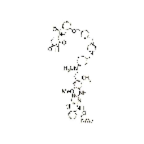 CNC(=O)c1ccccc1Nc1nc(Nc2cc(C)c(CCN(C)C3CCCC(CN4CCN(Cc5ccc(COc6cccc7c6CN([C@@H]6CCC(=O)NC6=O)C7=O)cc5)CC4)CC3)cc2OC)ncc1Cl